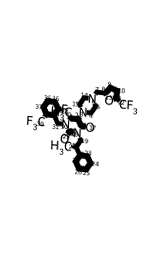 Cc1c(N2CCN(Cc3ccc(C(F)(F)F)o3)CC2)c(=O)n(C[C@H](C)c2ccccc2)c(=O)n1Cc1c(F)cccc1C(F)(F)F